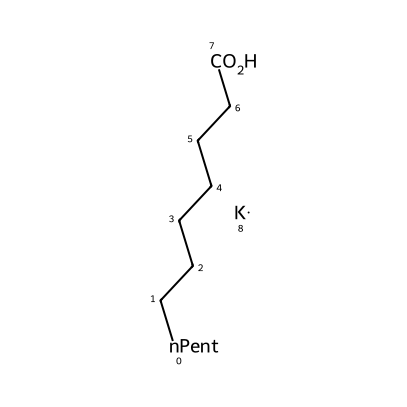 CCCCCCCCCCCC(=O)O.[K]